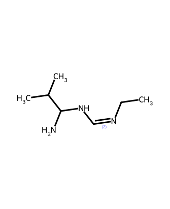 CC/N=C\NC(N)C(C)C